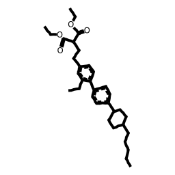 CCCCCC1CCC(c2ccc(-c3ccc(CCC(C(=O)OCC)C(=O)OCC)cc3CC)cc2)CC1